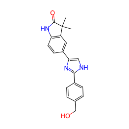 CC1(C)C(=O)Nc2ccc(-c3c[nH]c(-c4ccc(CO)cc4)n3)cc21